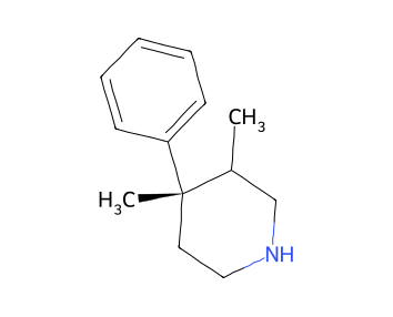 CC1CNCC[C@]1(C)c1ccccc1